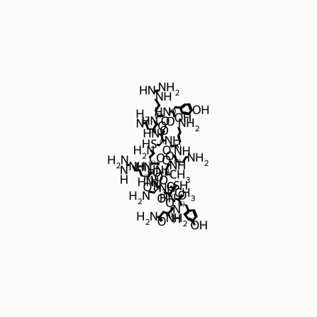 C[C@@H](O)[C@H](NC(=O)[C@H](CCN)NC(=O)[C@H](CCCNC(=N)N)NC(=O)[C@H](CC(N)=O)NC(=O)[C@@H](NC(=O)[C@H](Cc1ccc(O)cc1)NC(=O)[C@@H](N)CC(N)=O)C(C)(C)S)C(=O)N[C@H](CCN)C(=O)N[C@@H](CCCCN)C(=O)N[C@@H](CS)C(=O)N[C@@H](CCN)C(=O)N[C@@H](CCCNC(=N)N)C(=O)N[C@@H](Cc1ccc(O)cc1)C(=O)O